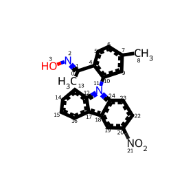 CC(=NO)c1ccc(C)cc1-n1c2ccccc2c2cc([N+](=O)[O-])ccc21